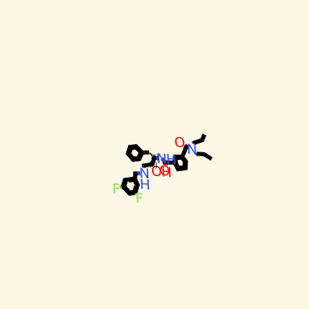 CCCN(CCC)C(=O)c1cccc(C(=O)N[C@@H](Cc2ccccc2)[C@H](O)CNCc2cc(F)cc(F)c2)c1